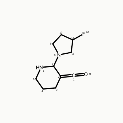 O=C=C1CCCNC1N1CCC(F)C1